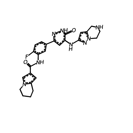 O=C(Nc1cc(-c2cc(Nc3cc4n(n3)CCNC4)c(=O)[nH]n2)ccc1F)c1cc2n(c1)CCCC2